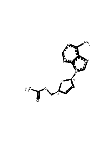 CC(=O)OC[C@@H]1C=C[C@H](n2cnc3c(N)ncnc32)O1